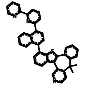 CC1(C)c2ccccc2-c2sc3c(-c4ccc(-c5cccc(-c6ccccn6)n5)c5ccccc45)cccc3c2-c2cnccc21